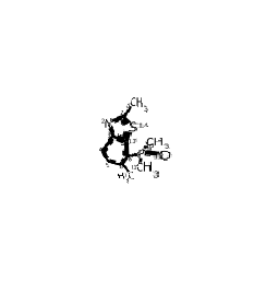 Cc1nc2ccc(C)c(P(C)(C)=O)c2s1